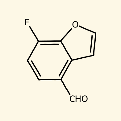 O=Cc1ccc(F)c2occc12